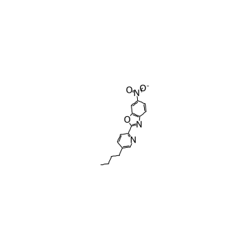 CCCCc1ccc(-c2nc3ccc([N+](=O)[O-])cc3o2)nc1